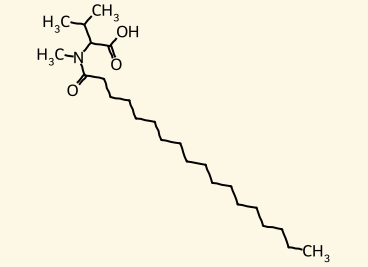 CCCCCCCCCCCCCCCCCC(=O)N(C)C(C(=O)O)C(C)C